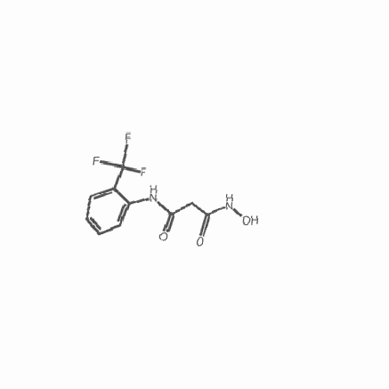 O=C(CC(=O)Nc1ccccc1C(F)(F)F)NO